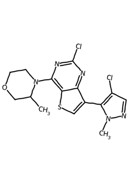 CC1COCCN1c1nc(Cl)nc2c(-c3c(Cl)cnn3C)csc12